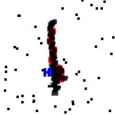 C#CCOCCOCCOCCOCCC(=O)N[C@@H](CCCCC)C(=O)OC